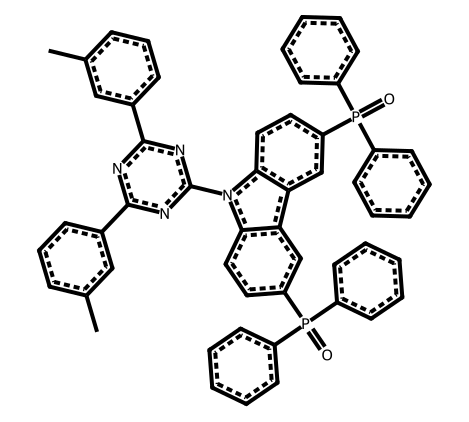 Cc1cccc(-c2nc(-c3cccc(C)c3)nc(-n3c4ccc(P(=O)(c5ccccc5)c5ccccc5)cc4c4cc(P(=O)(c5ccccc5)c5ccccc5)ccc43)n2)c1